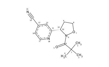 CC(C)(C)C(=O)N1OCC[C@H]1c1cc(C#N)ccn1